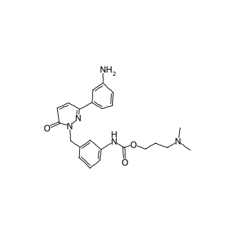 CN(C)CCCOC(=O)Nc1cccc(Cn2nc(-c3cccc(N)c3)ccc2=O)c1